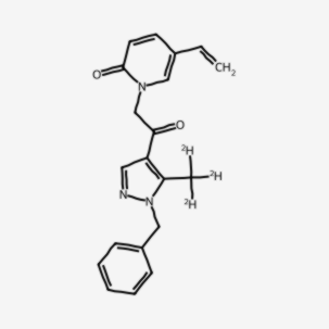 [2H]C([2H])([2H])c1c(C(=O)Cn2cc(C=C)ccc2=O)cnn1Cc1ccccc1